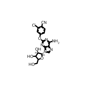 N#Cc1ccc(Oc2nc(N)c3ncn([C@@H]4OC(CO)C(O)[C@H]4O)c3n2)cc1Cl